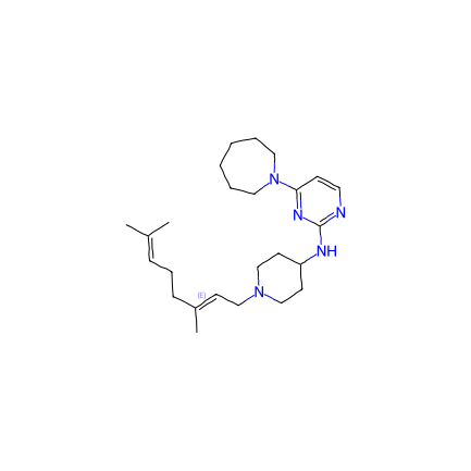 CC(C)=CCC/C(C)=C/CN1CCC(Nc2nccc(N3CCCCCC3)n2)CC1